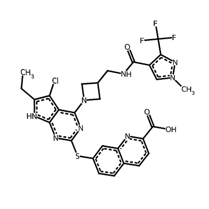 CCc1[nH]c2nc(Sc3ccc4ccc(C(=O)O)nc4c3)nc(N3CC(CNC(=O)c4cn(C)nc4C(F)(F)F)C3)c2c1Cl